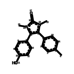 Cc1ccc(-c2c(-c3ccc(O)cc3)n(C)c(=O)n2C)cc1